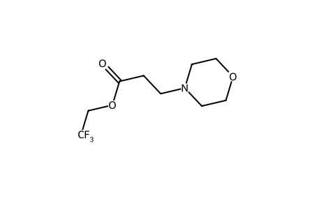 O=C(CCN1CCOCC1)OCC(F)(F)F